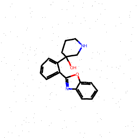 OC1(c2ccccc2-c2nc3ccccc3o2)CCCNC1